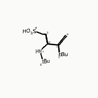 C=C(C(CS(=O)(=O)O)NC(C)(C)C)C(C)(C)C